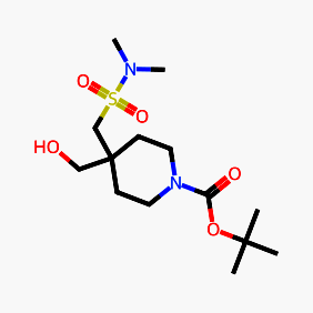 CN(C)S(=O)(=O)CC1(CO)CCN(C(=O)OC(C)(C)C)CC1